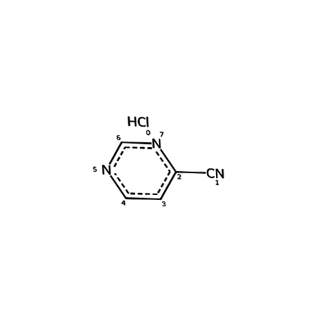 Cl.N#Cc1ccncn1